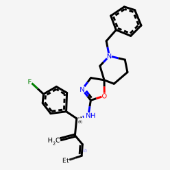 C=C(/C=C\CC)[C@@H](NC1=NCC2(CCCN(Cc3ccccc3)C2)O1)c1ccc(F)cc1